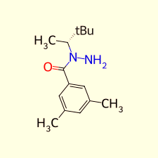 Cc1cc(C)cc(C(=O)N(N)[C@H](C)C(C)(C)C)c1